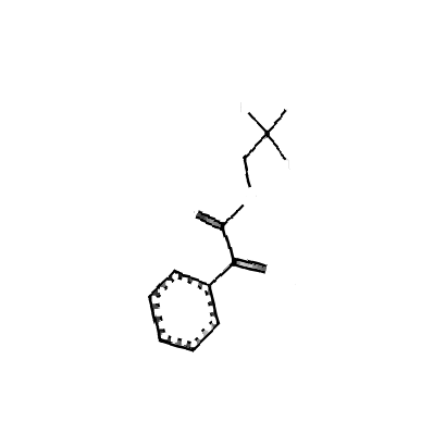 C=C(C(=O)OCC(F)(F)F)c1ccccc1